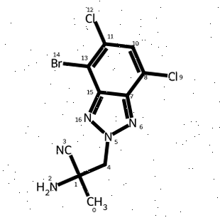 CC(N)(C#N)Cn1nc2c(Cl)cc(Cl)c(Br)c2n1